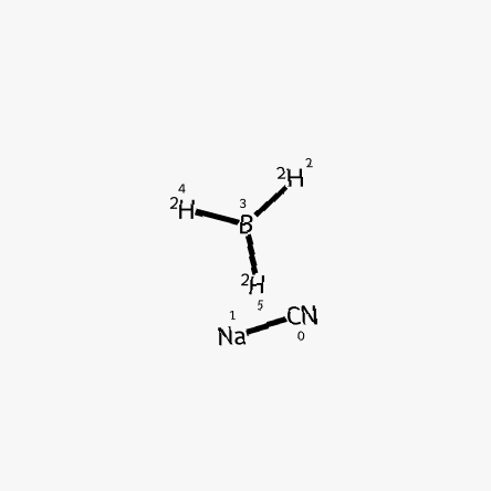 N#[C][Na].[2H]B([2H])[2H]